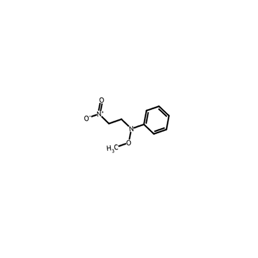 CON(CC[N+](=O)[O-])c1ccccc1